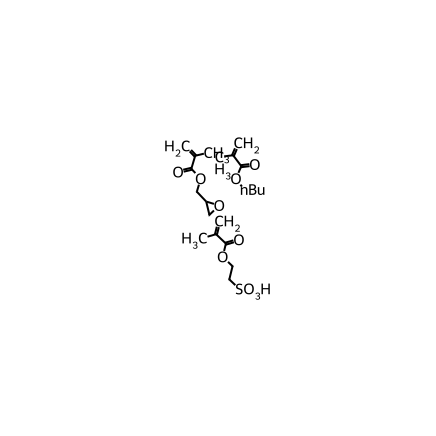 C=C(C)C(=O)OCC1CO1.C=C(C)C(=O)OCCCC.C=C(C)C(=O)OCCS(=O)(=O)O